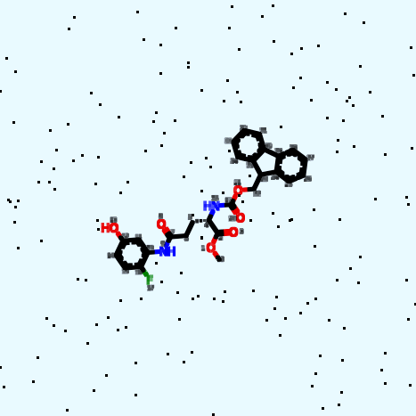 COC(=O)[C@H](CCC(=O)Nc1cc(O)ccc1F)NC(=O)OCC1c2ccccc2-c2ccccc21